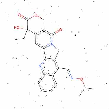 CC[C@@]1(O)C(=O)OCc2c1cc1n(c2=O)Cc2c-1nc1ccccc1c2C=NOC(C)C